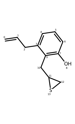 C=CCc1cccc(O)c1CC1CS1